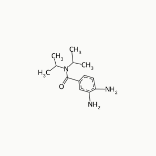 CC(C)N(C(=O)c1ccc(N)c(N)c1)C(C)C